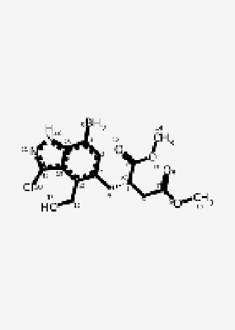 Bc1cc(C[C@@H](CC(=O)OC)C(=O)OC)c(CO)c2c(Cl)n[nH]c12